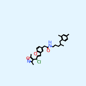 Cc1ccc(CC(C)CCCNC(=O)Cc2ccc3oc(C(Cl)c4c(C)noc4C)cc3c2)c(C)c1